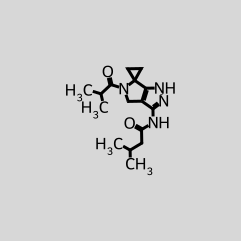 CC(C)CC(=O)Nc1n[nH]c2c1CN(C(=O)C(C)C)C21CC1